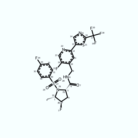 C[C@H]1[C@H](F)C[C@@H](C(=O)NCc2cc(-c3cnc(C(F)(F)F)s3)ncc2F)N1S(=O)(=O)c1ccc(F)cc1